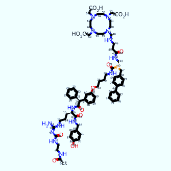 CCC(=O)NCCNC(=O)/N=C(/N)NCCC[C@@H](NC(=O)[C@@H](c1ccccc1)c1cccc(OCCCCNC(=O)[P@](CNC(=O)CCNCN2CCN(CC(=O)O)CCN(CC(=O)O)CCN(CC(=O)O)CC2)Cc2ccc(-c3ccccc3)cc2)c1)C(=O)NCc1ccc(O)cc1